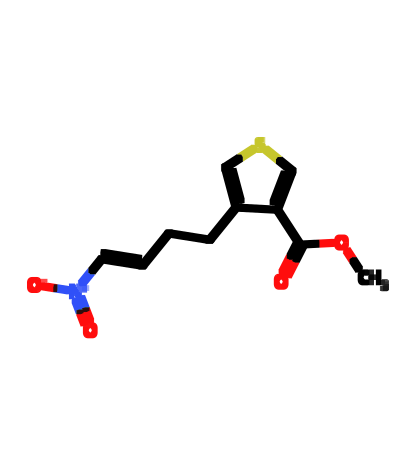 COC(=O)c1cscc1CCC=C[N+](=O)[O-]